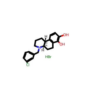 Br.Oc1ccc2c(c1O)CC[C@@H]1[C@@H]2CCCN1Cc1cccc(Cl)c1